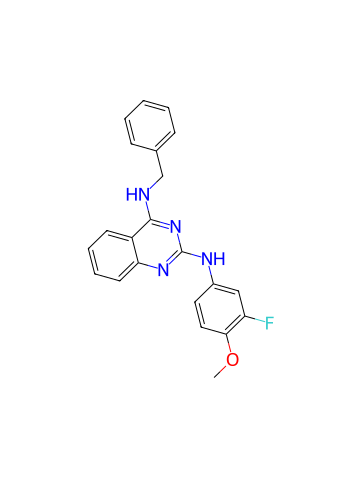 COc1ccc(Nc2nc(NCc3ccccc3)c3ccccc3n2)cc1F